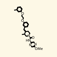 COc1cnc(NC(=O)N2CCC(=Cc3cccc(OCCOc4cccc(C)c4)c3)C(C)C2)cn1